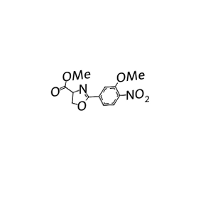 COC(=O)C1COC(c2ccc([N+](=O)[O-])c(OC)c2)=N1